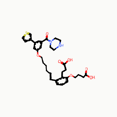 O=C(O)CCCOc1cccc(CCCCCCOc2cc(C(=O)N3CCNCC3)cc(-c3ccsc3)c2)c1CCC(=O)O